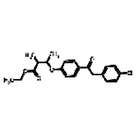 CCOC(=O)C(C)C(C)Oc1ccc(C(=O)Cc2ccc(Cl)cc2)cc1